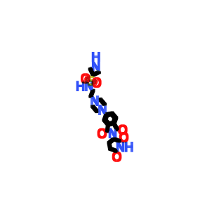 O=C1CCC(N2C(=O)c3ccc(N4CCN(CCNS(=O)(=O)C5CNC5)CC4)cc3C2=O)C(=O)N1